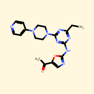 CCc1nc(Nc2ncc(C(C)=O)o2)nc(N2CCN(c3ccncc3)CC2)n1